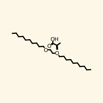 C=C(C)C(=O)O.CCCCCCCCCCOCCOCCCCCCCCCC